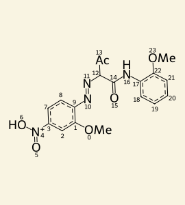 COc1cc([N+](=O)O)ccc1/N=N/C(C(C)=O)C(=O)Nc1ccccc1OC